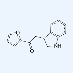 O=C(CC1CNc2ccccc21)c1ccco1